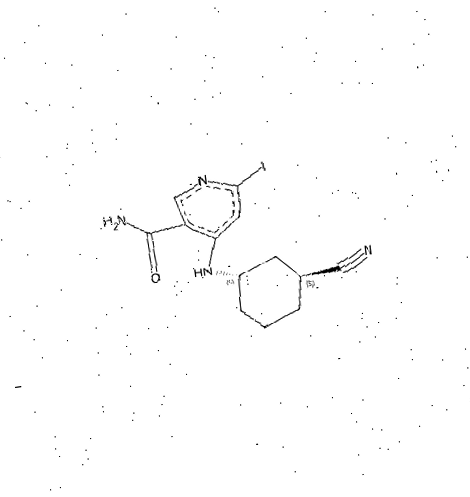 N#C[C@H]1CCC[C@H](Nc2cc(I)ncc2C(N)=O)C1